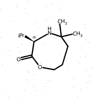 CC(C)[C@H]1NC(C)(C)CCCOC1=O